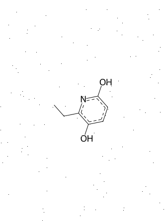 CCc1nc(O)ccc1O